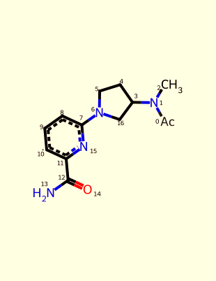 CC(=O)N(C)C1CCN(c2cc[c]c(C(N)=O)n2)C1